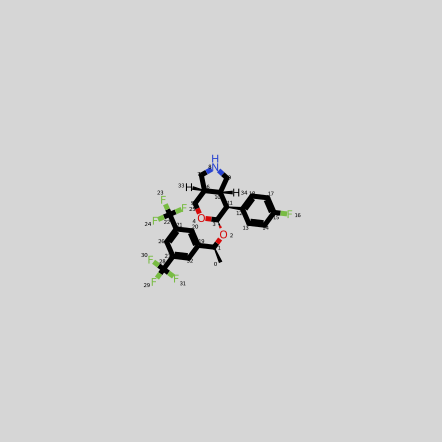 C[C@H](O[C@@H]1OC[C@@H]2CNC[C@@H]2[C@H]1c1ccc(F)cc1)c1cc(C(F)(F)F)cc(C(F)(F)F)c1